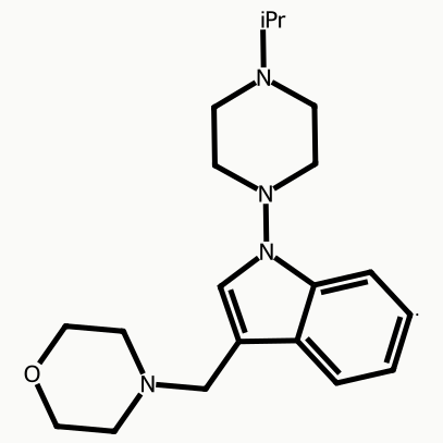 CC(C)N1CCN(n2cc(CN3CCOCC3)c3cc[c]cc32)CC1